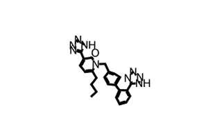 CCCCc1ccc(-c2nnn[nH]2)c(=O)n1Cc1ccc(-c2ccccc2-c2nnn[nH]2)cc1